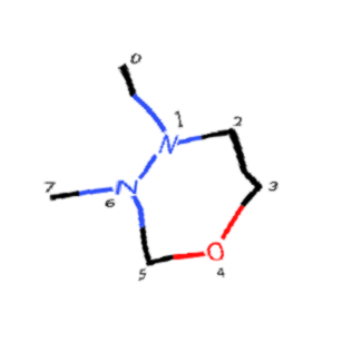 CN1CCOCN1C